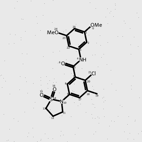 COc1cc(NC(=O)c2cc(N3CCCS3(=O)=O)cc(C)c2Cl)cc(OC)c1